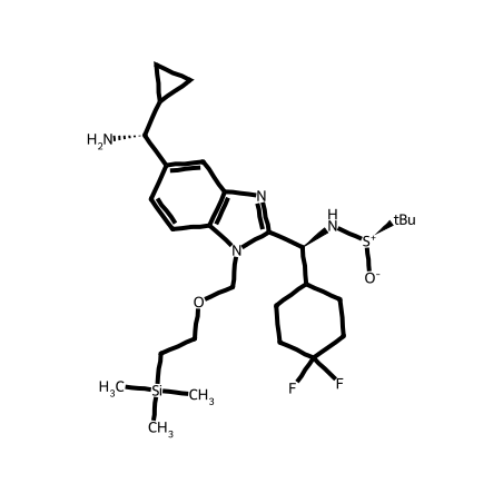 CC(C)(C)[S@@+]([O-])N[C@H](c1nc2cc([C@H](N)C3CC3)ccc2n1COCC[Si](C)(C)C)C1CCC(F)(F)CC1